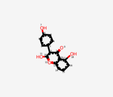 O=c1c(-c2ccc(O)cc2)c(O)oc2cccc(O)c12